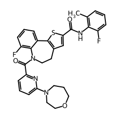 Cc1cccc(F)c1NC(=O)c1cc2c(s1)-c1cccc(F)c1N(C(=O)c1cccc(N3CCCOCC3)n1)CC2